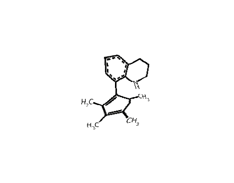 CC1=C(C)C(C)C(c2cccc3c2NCCC3)=C1C